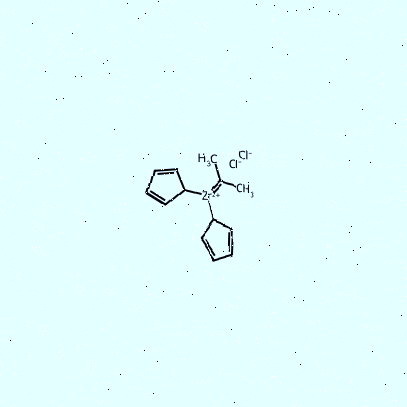 C[C](C)=[Zr+2]([CH]1C=CC=C1)[CH]1C=CC=C1.[Cl-].[Cl-]